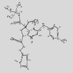 CCC(CCC(=O)OCc1ccccc1)(C(=O)OC(C)(C)C)c1cncc(Nc2ccc(C)cc2)n1